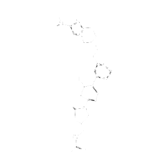 CC(=O)NC[C@H]1CN(C2=CC=C(c3ccnc(CO[C@@H]4COc5nc([N+](=O)[O-])cn5C4)c3)C(F)C2)C(=O)O1